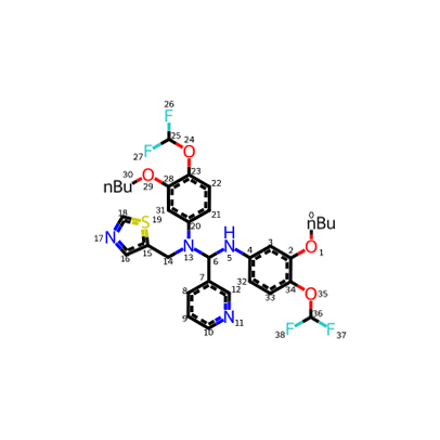 CCCCOc1cc(NC(c2cccnc2)N(Cc2cncs2)c2ccc(OC(F)F)c(OCCCC)c2)ccc1OC(F)F